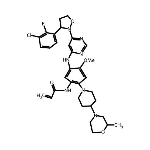 C=CC(=O)Nc1cc(Nc2cc(N3OCCC3c3cccc(Cl)c3F)ncn2)c(OC)cc1N1CCC(N2CCOC(C)C2)CC1